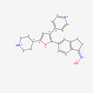 O/N=C1/CCc2cc(-c3oc(C4CCNCC4)cc3-c3ccncc3)ccc21